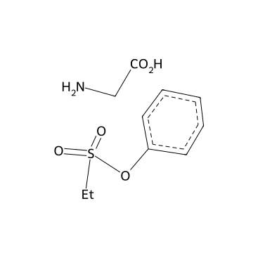 CCS(=O)(=O)Oc1ccccc1.NCC(=O)O